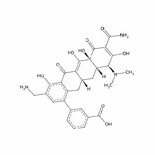 CN(C)[C@@H]1C(O)=C(C(N)=O)C(=O)[C@@]2(O)C(O)=C3C(=O)c4c(O)c(CN)cc(-c5cccc(C(=O)O)c5)c4C[C@H]3C[C@@H]12